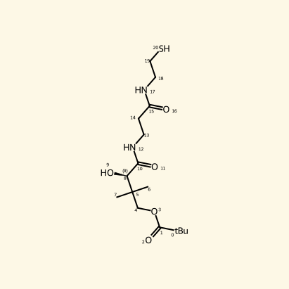 CC(C)(C)C(=O)OCC(C)(C)[C@@H](O)C(=O)NCCC(=O)NCCS